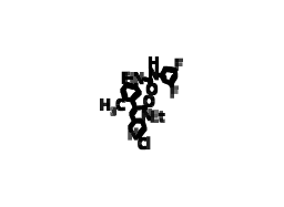 CCn1c(=O)c(-c2cc(NC(=O)Nc3cc(F)cc(F)c3)c(F)cc2C)cc2cnc(Cl)cc21